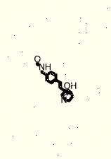 O=CNCc1ccc(/C=C/C2(O)CN3CCC2CC3)cc1